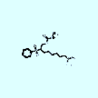 BNC(=O)OCC(CCCCCCN(C)C(C)=O)S(=O)(=O)c1ccccc1